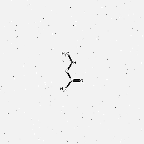 CPOS(C)=O